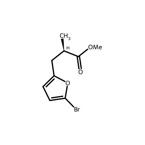 COC(=O)[C@H](C)Cc1ccc(Br)o1